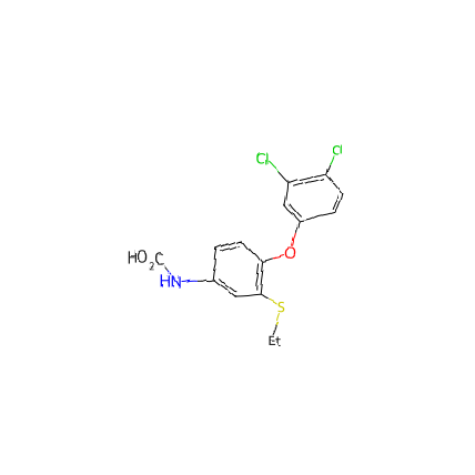 CCSc1cc(NC(=O)O)ccc1Oc1ccc(Cl)c(Cl)c1